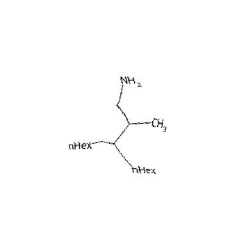 CCCCCCC(CCCCCC)C(C)CN